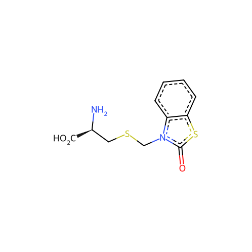 N[C@@H](CSCn1c(=O)sc2ccccc21)C(=O)O